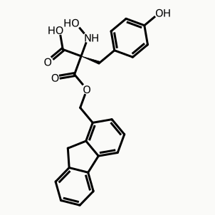 O=C(O)[C@](Cc1ccc(O)cc1)(NO)C(=O)OCc1cccc2c1Cc1ccccc1-2